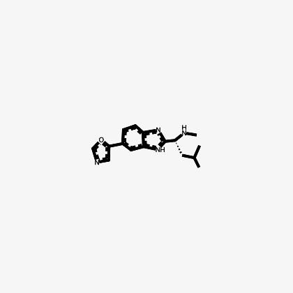 CN[C@H](CC(C)C)c1nc2ccc(-c3cnco3)cc2[nH]1